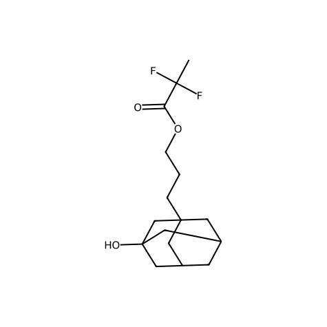 CC(F)(F)C(=O)OCCCC12CC3CC(CC(O)(C3)C1)C2